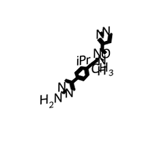 CC(C)C(C)(c1ccc(-c2cnc(N)nc2)cc1)C1N=C(c2ccnnc2)ON1